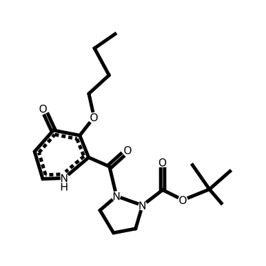 CCCCOc1c(C(=O)N2CCCN2C(=O)OC(C)(C)C)[nH]ccc1=O